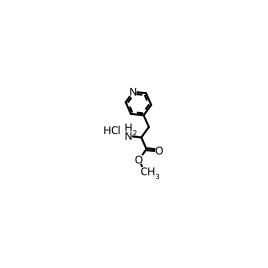 COC(=O)C(N)Cc1ccncc1.Cl